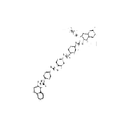 Cc1ccc2c(O)c(N=Nc3ccc(N=Nc4ccc(N=Nc5ccc(-n6nc7ccc8ccccc8c7n6)cc5)cc4)cc3)c(SOOO)cc2c1